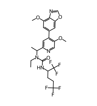 CCN(C(=O)NC(CCC(F)(F)F)C(F)(F)F)C(C)c1cc(-c2cc(OC)c3ncoc3c2)c(OC)cn1